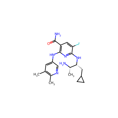 Cc1cc(Nc2nc(N[C@H](CC3CC3)[C@H](C)N)c(F)cc2C(N)=O)cnc1C